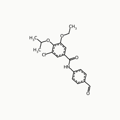 CCOc1cc(C(=O)Nc2ccc(C=O)cc2)cc(Cl)c1OC(C)C